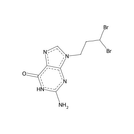 Nc1nc2c(ncn2CCC(Br)Br)c(=O)[nH]1